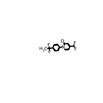 CC(F)(F)c1ccc(-n2ccc(C(F)F)cc2=O)cc1